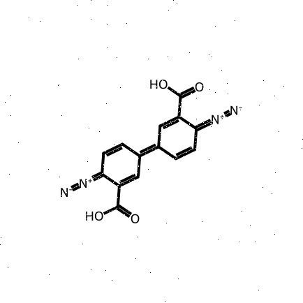 [N-]=[N+]=C1C=CC(=C2C=CC(=[N+]=[N-])C(C(=O)O)=C2)C=C1C(=O)O